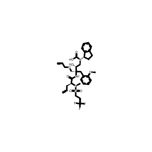 C=CCOC[C@](Cc1ccccc1OC)(NC(=O)[C@H](CC=C)N(C)S(=O)(=O)CCC(F)(F)F)[C@H](O)CN(C(=O)O)[C@H]1CCc2ccccc21